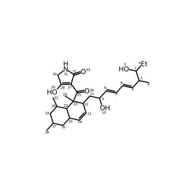 CCC(O)C(C)/C=C/C=C/C(O)CC1C=CC2CC(C)CC(C)C2C1(C)C(=O)C1=C(O)CNC1=O